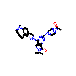 CC(=O)N1CCN(c2nc(NCc3ccc4c(c3)CCCN4C)c3c(n2)C(=O)N(C(C)C)C3)CC1